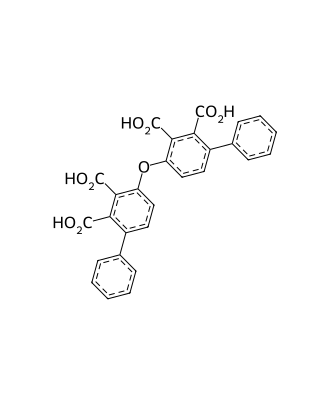 O=C(O)c1c(Oc2ccc(-c3ccccc3)c(C(=O)O)c2C(=O)O)ccc(-c2ccccc2)c1C(=O)O